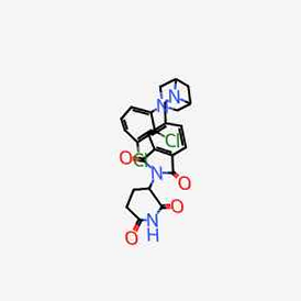 O=C1CCC(N2C(=O)c3ccc(CN4C5CC4CN(c4cccc(Cl)c4Cl)C5)cc3C2=O)C(=O)N1